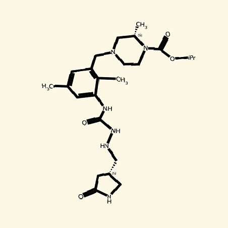 Cc1cc(CN2CCN(C(=O)OC(C)C)[C@@H](C)C2)c(C)c(NC(=O)NNC[C@@H]2CNC(=O)C2)c1